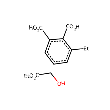 CCOC(=O)CO.CCc1cccc(C(=O)O)c1C(=O)O